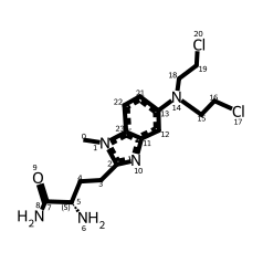 Cn1c(CC[C@H](N)C(N)=O)nc2cc(N(CCCl)CCCl)ccc21